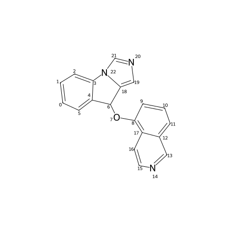 c1ccc2c(c1)C(Oc1cccc3cnccc13)c1cncn1-2